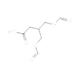 O=COCC(COC=O)CC(=O)O